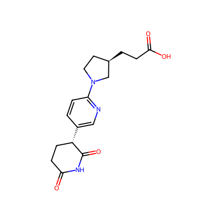 O=C(O)CC[C@@H]1CCN(c2ccc([C@H]3CCC(=O)NC3=O)cn2)C1